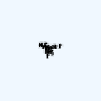 C[NH3+].[I-].[I-].[I-].[Sn+2]